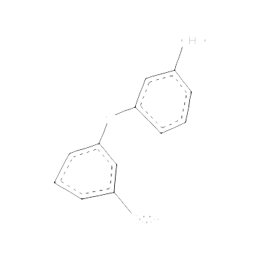 COc1cccc(Oc2cccc(C=O)c2)c1